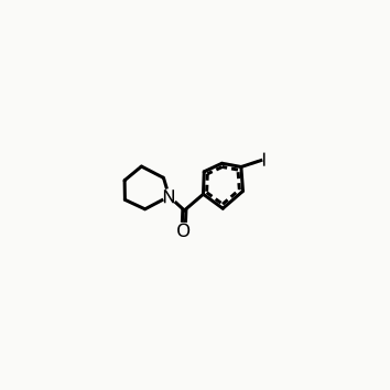 O=C(c1ccc(I)cc1)N1CCCCC1